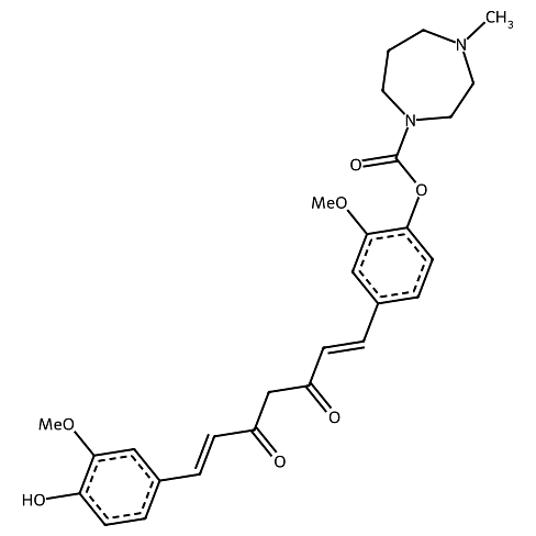 COc1cc(C=CC(=O)CC(=O)C=Cc2ccc(OC(=O)N3CCCN(C)CC3)c(OC)c2)ccc1O